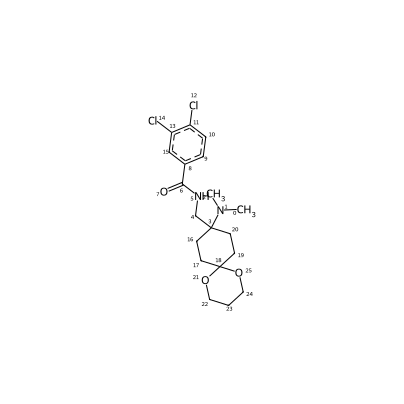 CN(C)C1(CNC(=O)c2ccc(Cl)c(Cl)c2)CCC2(CC1)OCCCO2